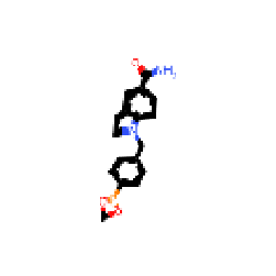 NC(=O)c1ccc2c(ccn2Cc2ccc(P3OCO3)cc2)c1